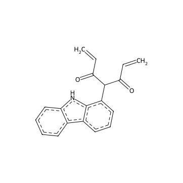 C=CC(=O)C(C(=O)C=C)c1cccc2c1[nH]c1ccccc12